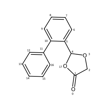 O=C1COC(c2ccccc2-c2ccccc2)O1